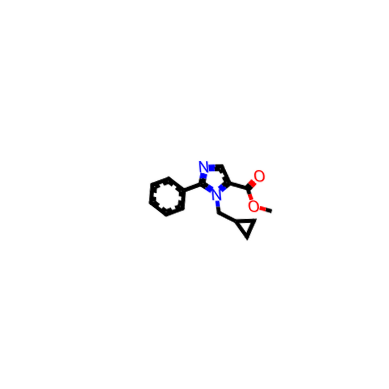 COC(=O)c1cnc(-c2ccccc2)n1CC1CC1